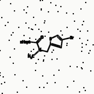 CCCCCCCC(=O)N(C)Cc1cc(Br)cs1